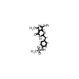 CCCc1nn(C)c2c(=O)[nH]c(Cc3ccc(NS(C)(=O)=O)cc3)nc12